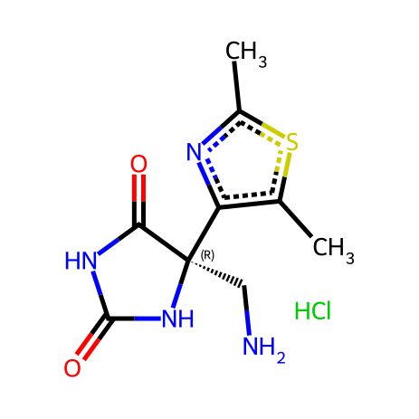 Cc1nc([C@@]2(CN)NC(=O)NC2=O)c(C)s1.Cl